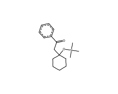 C[Si](C)(C)OC1(CC(=O)c2ccccc2)CCCCC1